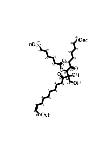 CCCCCCCC/C=C\CCCCCCCC(=O)C(O)(CO)C(OC(=O)CCCCCCCCCCCCCCC)C(=O)CCCCCCCCCCCCCCC